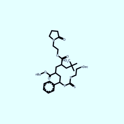 CCCCCCCCCCCCSC(=S)SC(CC(CC(CC(C)(C)C(=O)O)C(=O)OCCN1CCCC1=O)C(=O)OCCCC)c1ccccc1